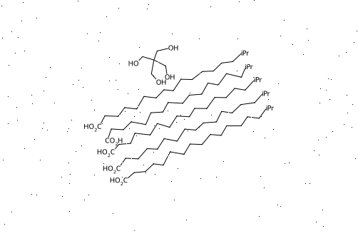 CC(C)CCCCCCCCCCCCCCC(=O)O.CC(C)CCCCCCCCCCCCCCC(=O)O.CC(C)CCCCCCCCCCCCCCC(=O)O.CC(C)CCCCCCCCCCCCCCC(=O)O.CC(C)CCCCCCCCCCCCCCC(=O)O.OCC(CO)(CO)CO